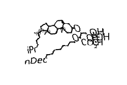 CCCCCCCCCCCCCCCCCCOC(C(=O)O)C(COP(=O)(O)O)OC1CC[C@@]2(C)C(=CCC3C2CC[C@@]2(C)C3CC[C@@H]2[C@H](C)CCCC(C)C)C1